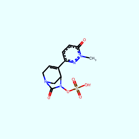 Cn1nc(C2=CCN3CC2N(OS(=O)(=O)O)C3=O)ccc1=O